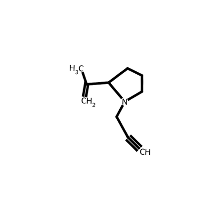 C#CCN1CCCC1C(=C)C